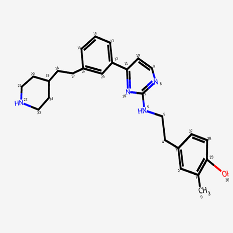 Cc1cc(CCNc2nccc(-c3cccc(CCC4CCNCC4)c3)n2)ccc1O